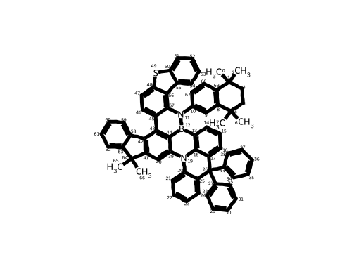 CC1(C)CCC(C)(C)c2cc(N3B4c5cccc6c5N(c5ccccc5C6(c5ccccc5)c5ccccc5)c5cc6c(c(c54)-c4ccc5sc7ccccc7c5c43)-c3ccccc3C6(C)C)ccc21